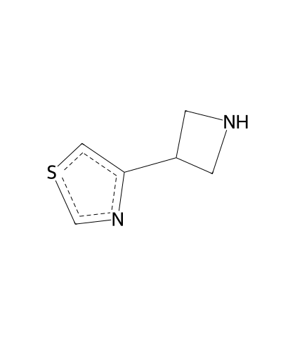 c1nc(C2CNC2)cs1